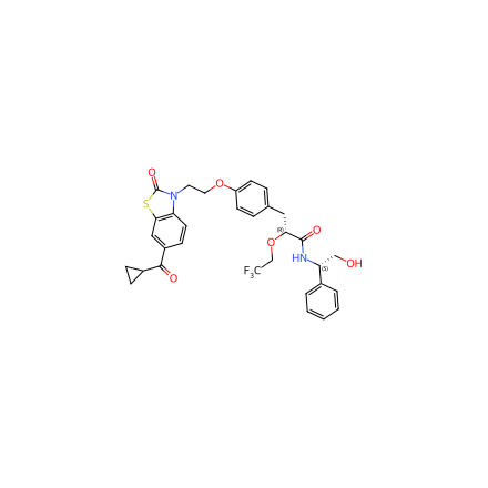 O=C(c1ccc2c(c1)sc(=O)n2CCOc1ccc(C[C@@H](OCC(F)(F)F)C(=O)N[C@H](CO)c2ccccc2)cc1)C1CC1